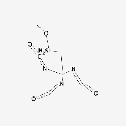 CO[SiH2]CC(N=C=O)(N=C=O)N=C=O